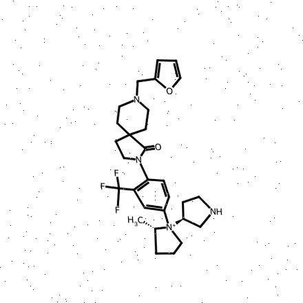 C[C@H]1CCC[N+]1(c1ccc(N2CCC3(CCN(Cc4ccco4)CC3)C2=O)c(C(F)(F)F)c1)[C@H]1CCNC1